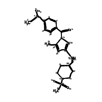 CN(C)c1ccc(C(=O)n2nc(NC3CCN(S(C)(=O)=O)CC3)nc2N)cc1